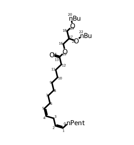 CCCCC/C=C\C/C=C\CCCCCCCC(=O)OCC(COCCCC)OCCCC